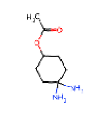 CC(=O)OC1CCC(N)(N)CC1